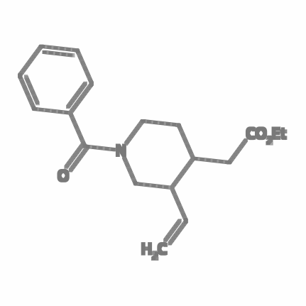 C=CC1CN(C(=O)c2ccccc2)CCC1CC(=O)OCC